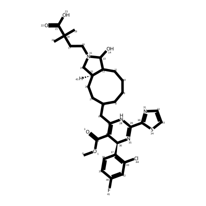 COC(=O)C1=C(CC2CCCCC3C(O)N(CCC(C)(C)C(=O)O)C[C@@H]3CC2)NC(c2nccs2)=N[C@H]1c1ccc(F)cc1Cl